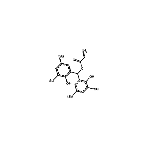 C=CC(=O)OC(c1cc(C(C)(C)C)cc(C(C)(C)C)c1O)c1cc(C(C)(C)C)cc(C(C)(C)C)c1O